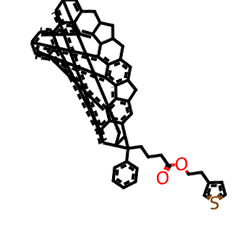 O=C(CCCC1(c2ccccc2)C2c3cc4c5c6c(cc7c8c9c%10c%11c%12c%13c%14c%15c(c%16c3c5c(c%10c86)c%16c%14%11)C21CC%15C=C%13CC1CC(C7)C9C=%121)C4)OCCc1ccsc1